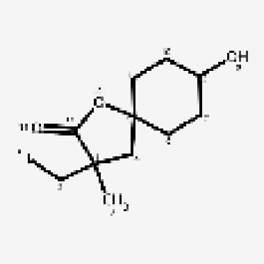 CC1(CI)CC2(CCC(O)CC2)OC1=O